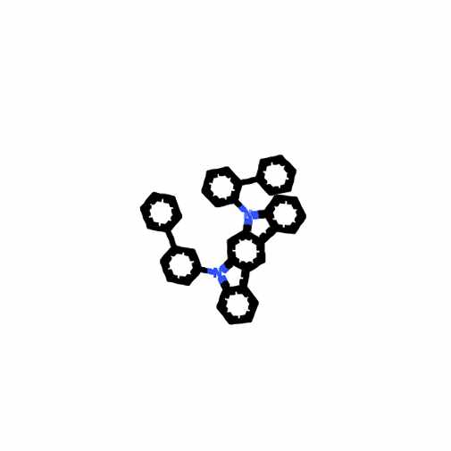 c1ccc(-c2cccc(-n3c4ccccc4c4cc5c6ccccc6n(-c6ccccc6-c6ccccc6)c5cc43)c2)cc1